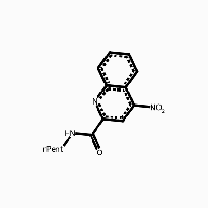 CCCCCNC(=O)c1cc([N+](=O)[O-])c2ccccc2n1